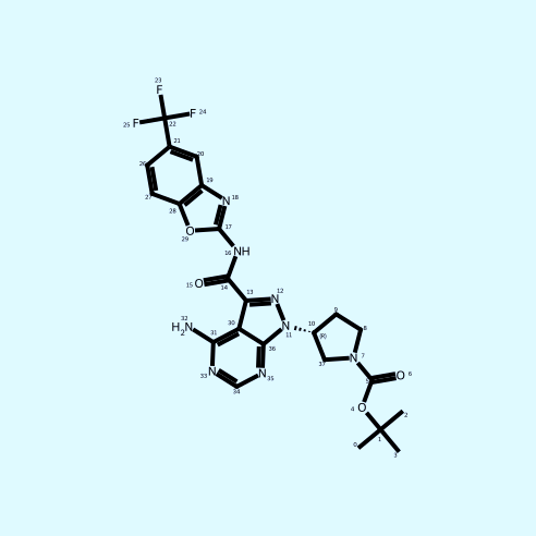 CC(C)(C)OC(=O)N1CC[C@@H](n2nc(C(=O)Nc3nc4cc(C(F)(F)F)ccc4o3)c3c(N)ncnc32)C1